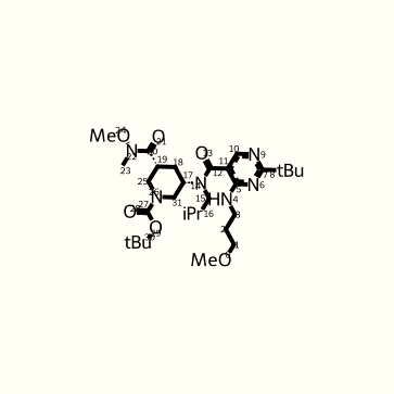 COCCCNc1nc(C(C)(C)C)ncc1C(=O)N(CC(C)C)[C@H]1C[C@@H](C(=O)N(C)OC)CN(C(=O)OC(C)(C)C)C1